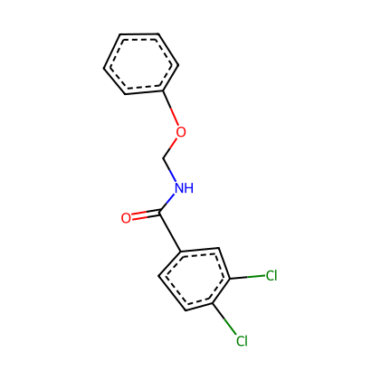 O=C(NCOc1ccccc1)c1ccc(Cl)c(Cl)c1